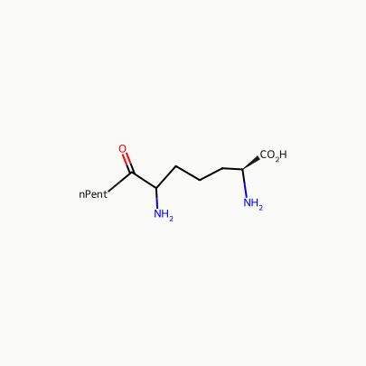 CCCCCC(=O)C(N)CCC[C@H](N)C(=O)O